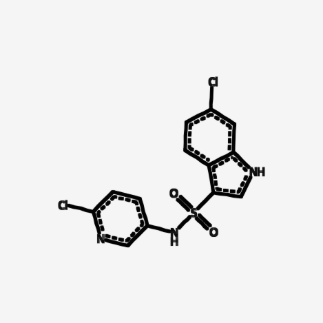 O=S(=O)(Nc1ccc(Cl)nc1)c1c[nH]c2cc(Cl)ccc12